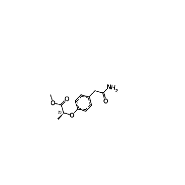 COC(=O)[C@H](C)Oc1ccc(CC(N)=O)cc1